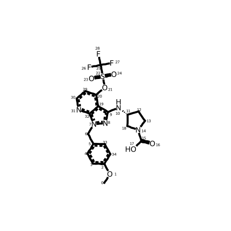 COc1ccc(Cn2nc(N[C@@H]3CCN(C(=O)O)C3)c3c(OS(=O)(=O)C(F)(F)F)ccnc32)cc1